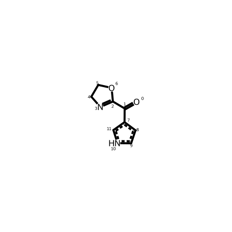 O=C(C1=NCCO1)c1cc[nH]c1